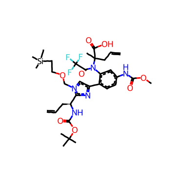 C=CC[C@H](NC(=O)OC(C)(C)C)c1nc(-c2ccc(NC(=O)OC)cc2N(C(=O)C(F)(F)F)C(C)(CC=C)C(=O)O)cn1COCC[Si](C)(C)C